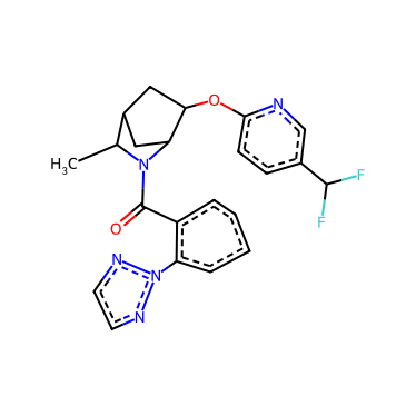 CC1C2CC(Oc3ccc(C(F)F)cn3)C(C2)N1C(=O)c1ccccc1-n1nccn1